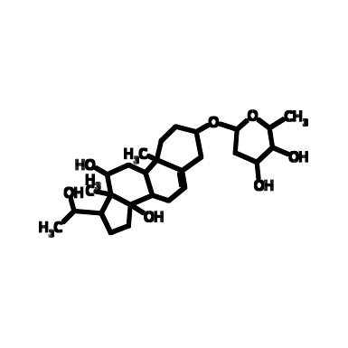 CC(O)C1CCC2(O)C3CC=C4CC(OC5CC(O)C(O)C(C)O5)CCC4(C)C3CC(O)C12C